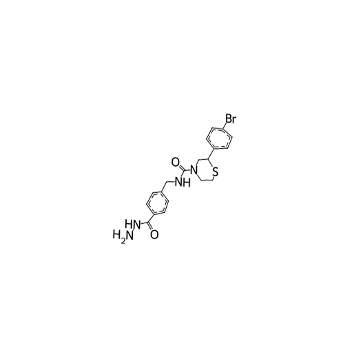 NNC(=O)c1ccc(CNC(=O)N2CCSC(c3ccc(Br)cc3)C2)cc1